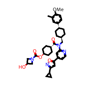 COc1ccc([C@H]2CC[C@H](CN(c3cc(-c4cc(C5CC5)no4)ccn3)C(=O)[C@H]3CC[C@H](OC(=O)N4CC(O)C4)CC3)CC2)cc1C